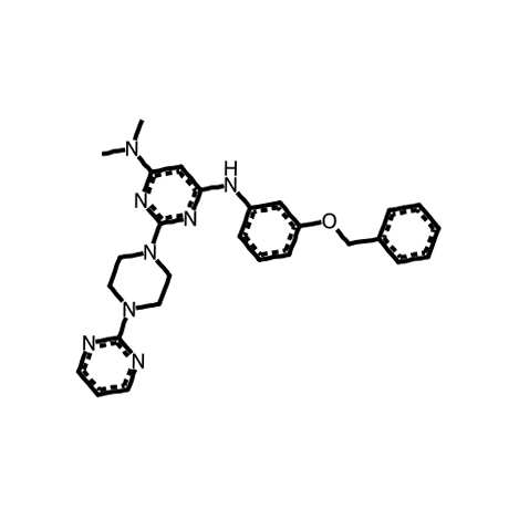 CN(C)c1cc(Nc2cccc(OCc3ccccc3)c2)nc(N2CCN(c3ncccn3)CC2)n1